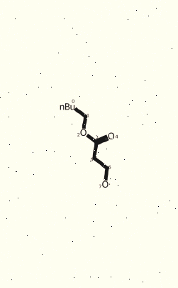 CCCCCOC(=O)CC[O]